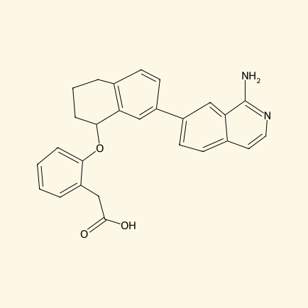 Nc1nccc2ccc(-c3ccc4c(c3)C(Oc3ccccc3CC(=O)O)CCC4)cc12